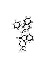 CSN1CCC2(CC1)C(=O)N(Cc1ncc3ccccc3c1-c1ccncc1)c1cnccc12